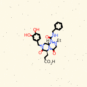 CCN1CC(=O)N2[C@@H](CCC(=O)O)C(=O)N(Cc3ccc(O)c(O)c3)C[C@@H]2N1C(=O)NCc1ccccc1